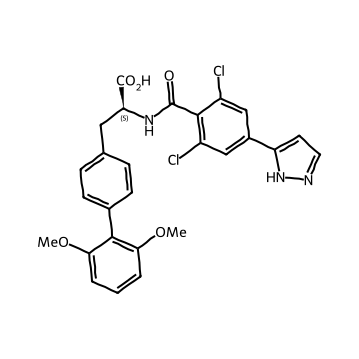 COc1cccc(OC)c1-c1ccc(C[C@H](NC(=O)c2c(Cl)cc(-c3ccn[nH]3)cc2Cl)C(=O)O)cc1